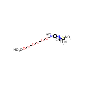 CCCN(CCOCCOCCOCCOCCOCCOCC(=O)O)c1ccc(/N=N/c2sc([N+](=O)[O-])cc2[N+](=O)[O-])c(C)c1